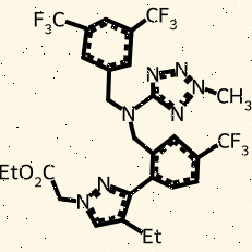 CCOC(=O)Cn1cc(CC)c(-c2ccc(C(F)(F)F)cc2CN(Cc2cc(C(F)(F)F)cc(C(F)(F)F)c2)c2nnn(C)n2)n1